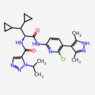 Cc1n[nH]c(C)c1-c1ccc(NC(=O)[C@@H](NC(=O)c2cnnn2C(C)C)C(C2CC2)C2CC2)nc1Cl